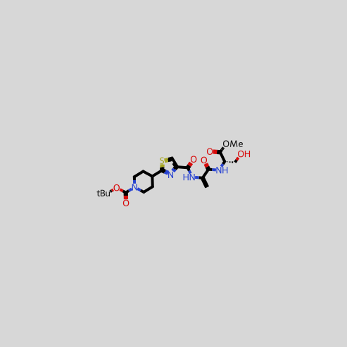 C=C(NC(=O)c1csc(C2CCN(C(=O)OC(C)(C)C)CC2)n1)C(=O)N[C@@H](CO)C(=O)OC